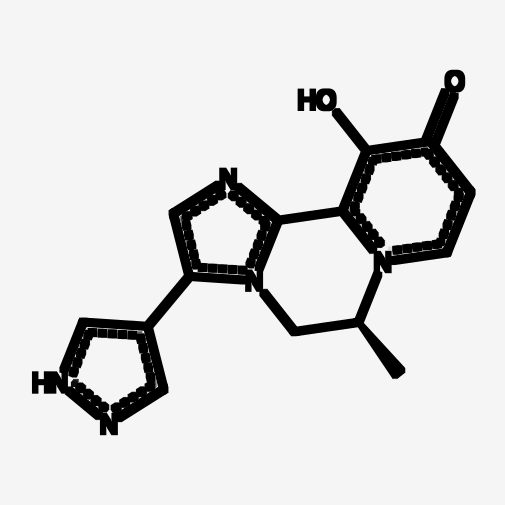 C[C@H]1Cn2c(-c3cn[nH]c3)cnc2-c2c(O)c(=O)ccn21